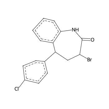 O=C1Nc2ccccc2C(c2ccc(Cl)cc2)CC1Br